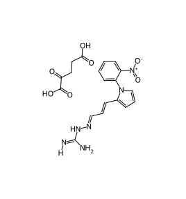 O=C(O)CCC(=O)C(=O)O.[H]/N=C(\N)NN=CC=Cc1cccn1-c1ccccc1[N+](=O)[O-]